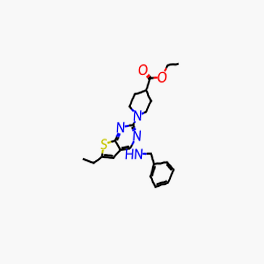 CCOC(=O)C1CCN(c2nc(NCc3ccccc3)c3cc(CC)sc3n2)CC1